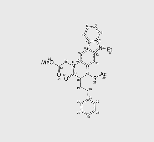 CCn1c2ccccc2c2cc(N(CC(=O)OC)C(=O)C(CCc3ccccc3)CSC(C)=O)ccc21